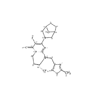 Cc1nc(CN2c3nc(N4CC5CCC(C4)O5)c(F)c(=O)n3CC[C@H]2C(F)(F)F)no1